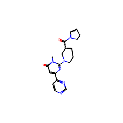 Cn1c(N2CCCC(C(=O)N3CCCC3)C2)nc(-c2ccncn2)cc1=O